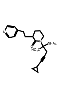 CC(=O)NC(CC#CC1CC1)(C(=O)O)N1CCCC(CCc2ccncc2)C1=O